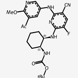 COc1ncc(Nc2nc(N[C@@H]3CCCC[C@@H]3NC(=O)OC(C)(C)C)c(F)cc2C#N)cc1C(C)=O